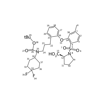 Cc1ccc(S(=O)(=O)N2CCC[C@H]2C(=O)O)c(Oc2ccccc2CCCN(C(=O)OC(C)(C)C)C2CCC(F)(F)CC2)c1